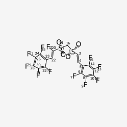 O=S(=O)(C=Cc1c(F)c(F)c(F)c(F)c1F)CS(=O)(=O)C(F)=Cc1c(F)c(F)c(F)c(F)c1F